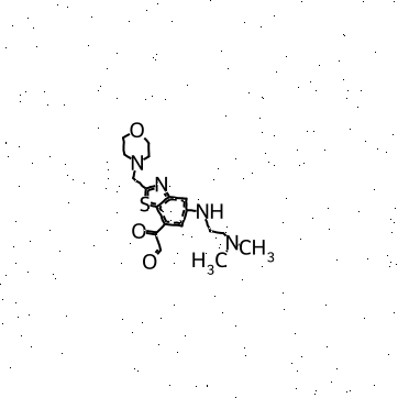 CN(C)CCNc1cc(C(=O)C=O)c2sc(CN3CCOCC3)nc2c1